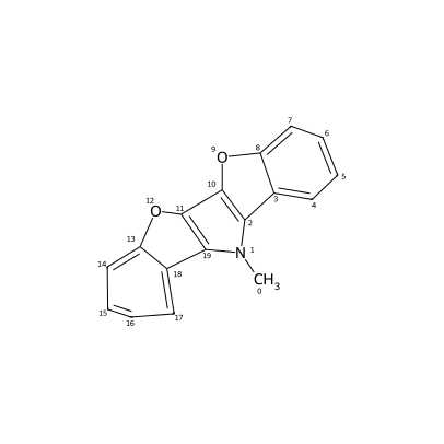 Cn1c2c3ccccc3oc2c2oc3ccccc3c21